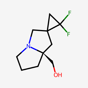 OC[C@@]12CCCN1CC1(CC1(F)F)C2